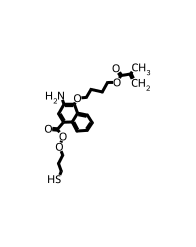 C=C(C)C(=O)OCCCCOc1c(N)cc(C(=O)OOCCCS)c2ccccc12